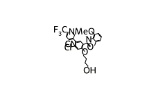 COc1cccc(C)c1N(C)C(=O)c1cc(-c2cnc(C(F)(F)F)cc2C#N)c(Cl)cc1OCCCCO